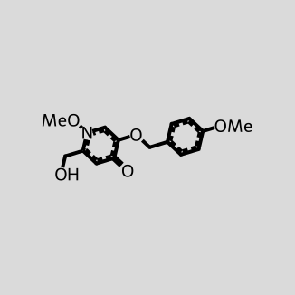 COc1ccc(COc2cn(OC)c(CO)cc2=O)cc1